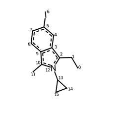 CCc1c2cc(I)ccc2c(C)n1C1CC1